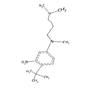 CN(C)CCCN(C)c1ccc(C(C)(C)C)c(N)c1